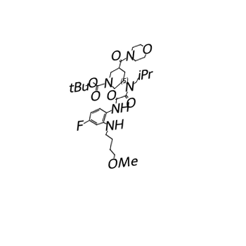 COCCCCNc1cc(F)ccc1NC(=O)C(=O)N(CC(C)C)[C@H]1CC(C(=O)N2CCOCC2)CN(C(=O)OC(C)(C)C)C1